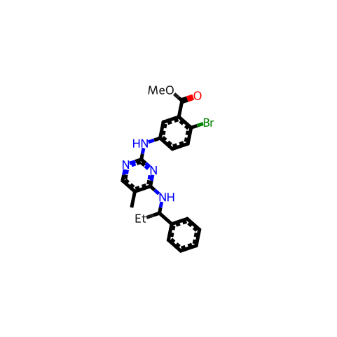 CCC(Nc1nc(Nc2ccc(Br)c(C(=O)OC)c2)ncc1C)c1ccccc1